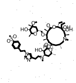 CC[C@H]1OC(=O)[C@H](C)[C@@H](OC[C@H]2C[C@@](C)(OC)[C@@H](O)[C@H](C)O2)[C@H](C)[C@@H](O[C@@H]2O[C@H](C)C[C@H](N(C)CCc3cn(CCc4ccc(S(C)(=O)=O)cc4)nn3)[C@H]2O)[C@](C)(O)C[C@@H](C)CN(C)[C@H](C)[C@@H](O)[C@@]1(O)CC